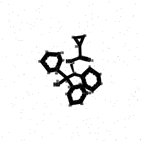 O=C(N[C@H](c1ccccc1)C(O)(c1cccnc1)c1cccnc1)C1CC1